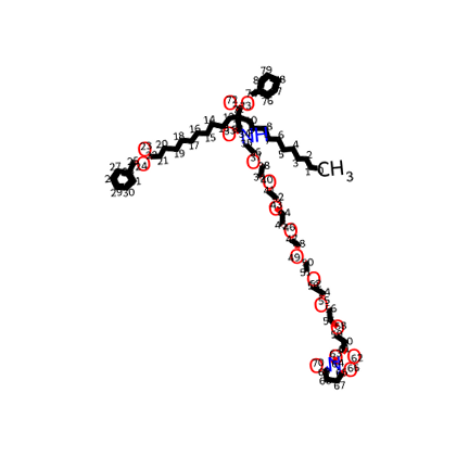 CCCCCCCCCCCC(CCCCCCCCCCC(=O)OCc1ccccc1)(C(=O)NCCOCCOCCOCCOCCOCCOCCOCCOCCC(=O)ON1C(=O)CCC1=O)C(=O)OCc1ccccc1